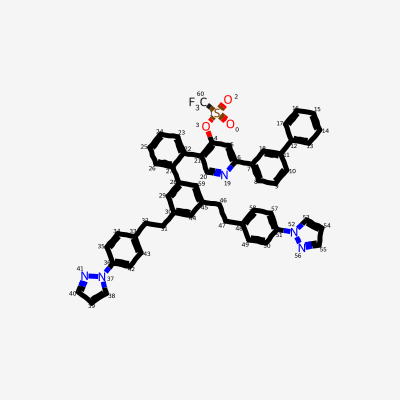 O=S(=O)(Oc1cc(-c2cccc(-c3ccccc3)c2)ncc1-c1ccccc1-c1cc(CCc2ccc(-n3cccn3)cc2)cc(CCc2ccc(-n3cccn3)cc2)c1)C(F)(F)F